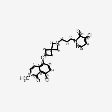 Cn1ccc2c(OC3CC4(C3)CN(CCCn3nccc(Cl)c3=O)C4)ccc(Cl)c2c1=O